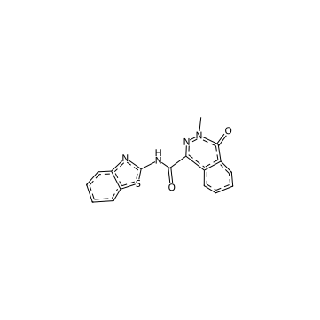 Cn1nc(C(=O)Nc2nc3ccccc3s2)c2ccccc2c1=O